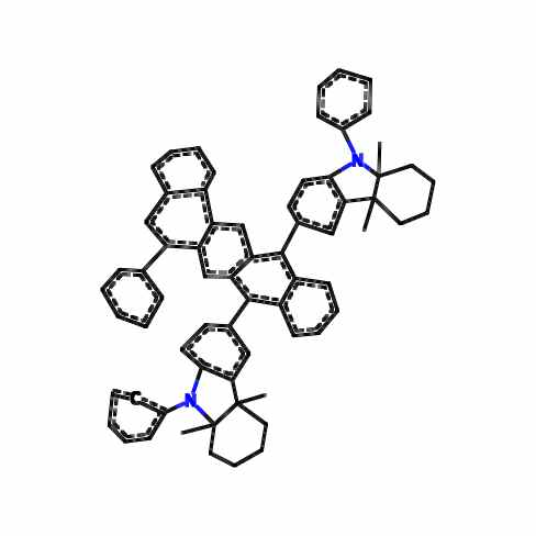 CC12CCCCC1(C)N(c1ccccc1)c1ccc(-c3c4ccccc4c(-c4ccc5c(c4)C4(C)CCCCC4(C)N5c4ccccc4)c4cc5c(cc34)c(-c3ccccc3)cc3ccccc35)cc12